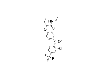 CCNC(=O)C(CC)Oc1ccc([S+]([O-])c2ccc(C(F)(F)F)cc2Cl)cc1